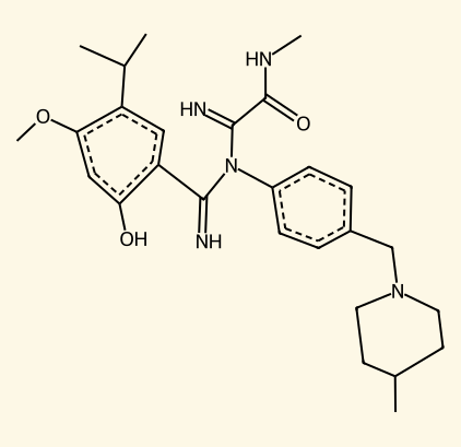 CNC(=O)C(=N)N(C(=N)c1cc(C(C)C)c(OC)cc1O)c1ccc(CN2CCC(C)CC2)cc1